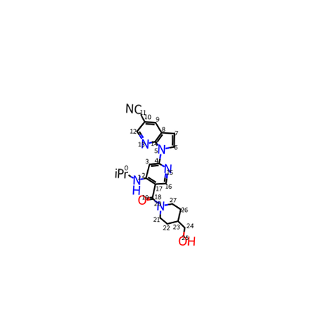 CC(C)Nc1cc(-n2ccc3cc(C#N)cnc32)ncc1C(=O)N1CCC(CO)CC1